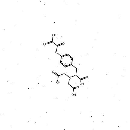 C=C(C)C(=O)Oc1ccc(C[C@@H](C(=O)O)N(CC(=O)O)CC(=O)O)cc1